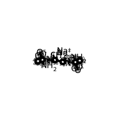 Cc1cc(-c2ccc(N=Nc3cc(S(=O)(=O)[O-])c4ccccc4c3N)c(C)c2)ccc1N=Nc1cc(S(=O)(=O)[O-])c2ccccc2c1N.[Na+].[Na+]